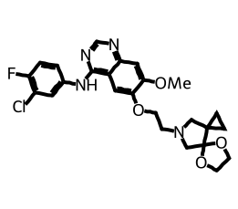 COc1cc2ncnc(Nc3ccc(F)c(Cl)c3)c2cc1OCCN1CC2(CC2)C2(C1)OCCO2